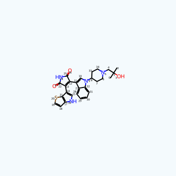 CC(C)(O)CN1CCC(n2cc(C3=C(c4c[nH]c5ccsc45)C(=O)NC3=O)c3ccccc32)CC1